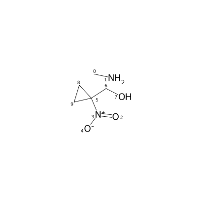 CN.O=[N+]([O-])C1(CO)CC1